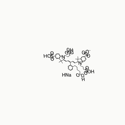 CC1(C)C(=CC=C(C=CC2=[N+](CCCS(=O)(=O)O)c3ccc(S(=O)(=O)[O-])cc3C2(C)C)c2ccccc2CCCCC(=O)O)N(CCCS(=O)(=O)O)c2ccc(S(=O)(=O)O)cc21.[NaH]